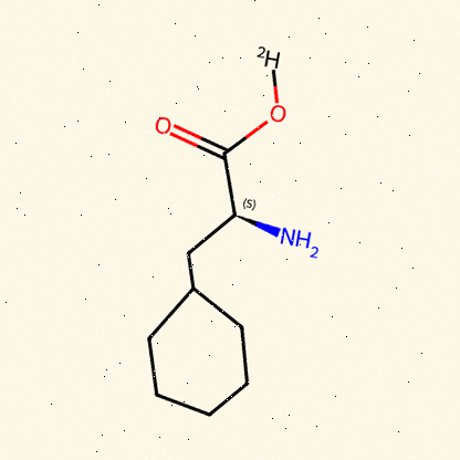 [2H]OC(=O)[C@@H](N)CC1CCCCC1